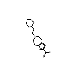 FC(F)c1nc2c(s1)CCN(CCC1CCCCC1)CC2